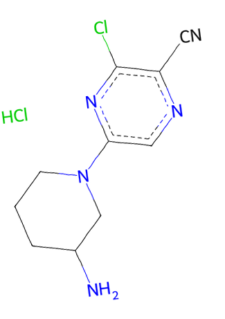 Cl.N#Cc1ncc(N2CCCC(N)C2)nc1Cl